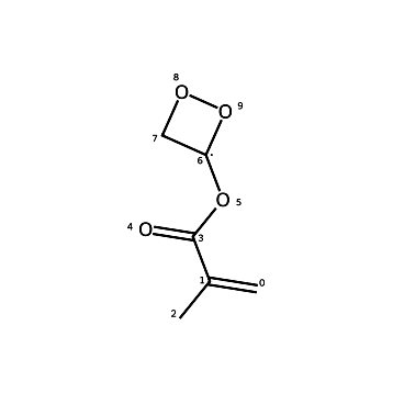 C=C(C)C(=O)O[C]1COO1